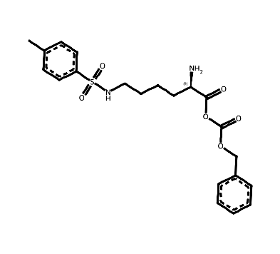 Cc1ccc(S(=O)(=O)NCCCC[C@@H](N)C(=O)OC(=O)OCc2ccccc2)cc1